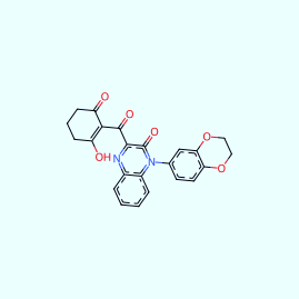 O=C1CCCC(O)=C1C(=O)c1nc2ccccc2n(-c2ccc3c(c2)OCCO3)c1=O